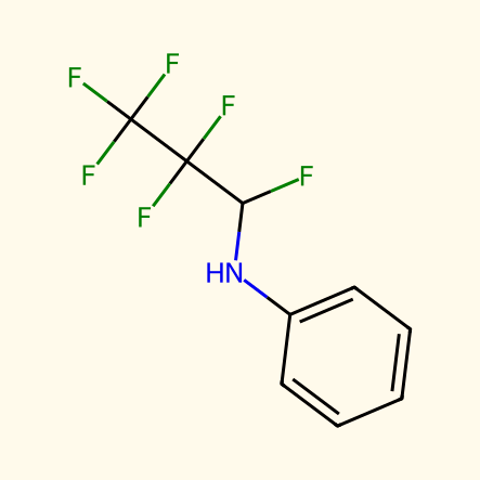 FC(Nc1ccccc1)C(F)(F)C(F)(F)F